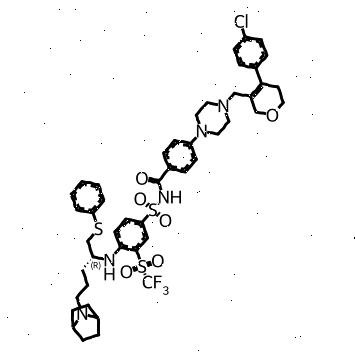 O=C(NS(=O)(=O)c1ccc(N[C@H](CCCN2C3CCC2CC3)CSc2ccccc2)c(S(=O)(=O)C(F)(F)F)c1)c1ccc(N2CCN(CC3=C(c4ccc(Cl)cc4)CCOC3)CC2)cc1